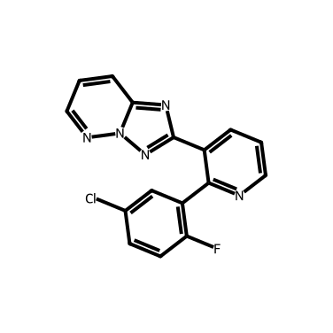 Fc1ccc(Cl)cc1-c1ncccc1-c1nc2cccnn2n1